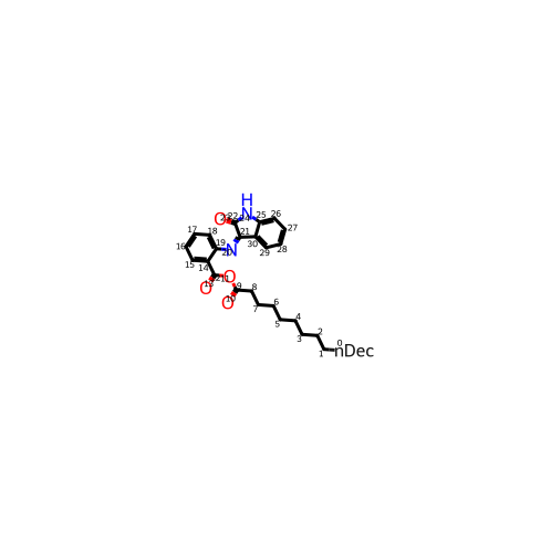 CCCCCCCCCCCCCCCCCCC(=O)OC(=O)c1ccccc1N=C1C(=O)Nc2ccccc21